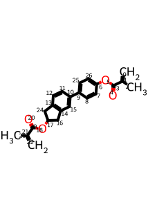 C=C(C)C(=O)Oc1ccc(-c2ccc3c(c2)CC(OC(=O)C(=C)C)C3)cc1